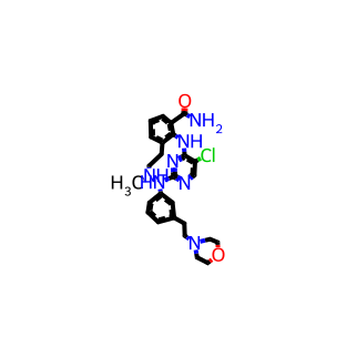 CNCCc1cccc(C(N)=O)c1Nc1nc(Nc2cccc(CCN3CCOCC3)c2)ncc1Cl